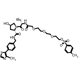 Cc1ccc(S(=O)(=O)OCCOCCOCCOCC(=O)N[C@H](C(=O)N2C[C@H](O)C[C@H]2C(=O)NCc2ccc(-c3scnc3C)cc2)C(C)(C)C)cc1